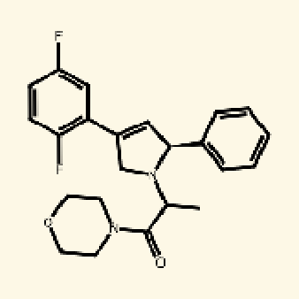 CC(C(=O)N1CCOCC1)N1CC(c2cc(F)ccc2F)=C[C@H]1c1ccccc1